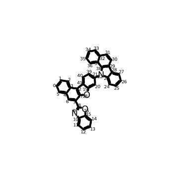 c1ccc2c(c1)cc(-c1nc3ccccc3o1)c1oc3cc(-n4c5ccccc5c5ccc6ccccc6c54)ccc3c12